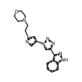 c1ccc2c(-c3cn(-c4cnn(CCN5CCOCC5)c4)nn3)n[nH]c2c1